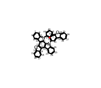 c1ccc(-n2c3ccccc3c3c4oc5ccccc5c4c4c5ccccc5n(-c5ccc6oc7ccccc7c6c5)c4c32)cc1